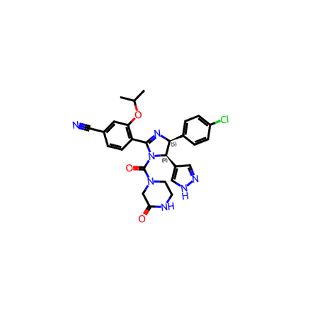 CC(C)Oc1cc(C#N)ccc1C1=N[C@@H](c2ccc(Cl)cc2)[C@@H](c2cn[nH]c2)N1C(=O)N1CCNC(=O)C1